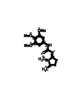 COc1cc(NC(=O)/N=C2/CCC(C)N2C)cc(OC)c1OC